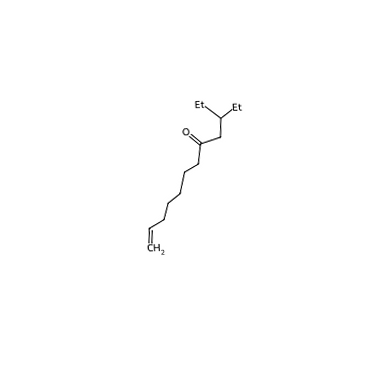 C=CCCCCCC(=O)CC(CC)CC